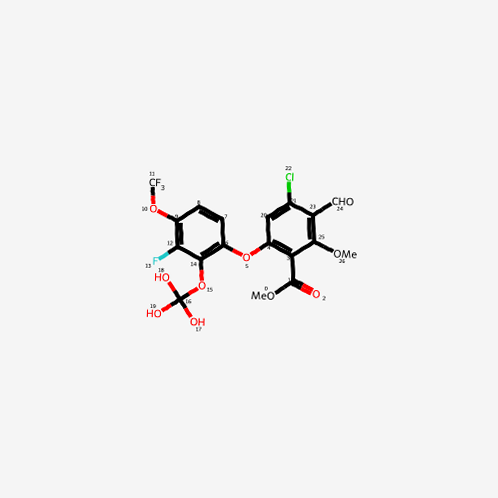 COC(=O)c1c(Oc2ccc(OC(F)(F)F)c(F)c2OC(O)(O)O)cc(Cl)c(C=O)c1OC